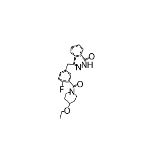 CCOC1CCN(C(=O)c2cc(Cc3n[nH]c(=O)c4ccccc34)ccc2F)CC1